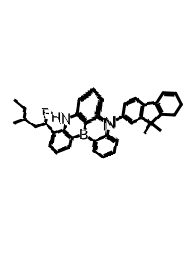 CCC(C)CC(F)c1cccc2c1Nc1cccc3c1B2c1ccccc1N3c1ccc2c(c1)C(C)(C)C1=C2C=CCC1